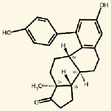 C[C@]12CC[C@@H]3c4c(cc(O)cc4-c4ccc(O)cc4)CC[C@H]3[C@@H]1CCC2=O